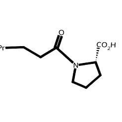 CC(C)CCC(=O)N1CCC[C@H]1C(=O)O